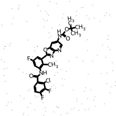 Cc1c(NC(=O)c2ccc(F)c(F)c2Cl)cc(F)cc1-c1nc2ncc(NC(=O)OC(C)(C)C)cc2o1